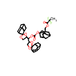 CC(F)(F)C(=O)OCC12CC3CC(C1)CC(OC(=O)OC(C1COC4(O1)C1CC5CC(C1)CC4C5)C1COC4(O1)C1CC5CC(C1)CC4C5)(C3)C2